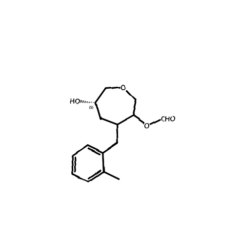 Cc1ccccc1CC1C[C@H](O)COCC1OC=O